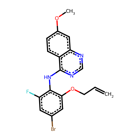 C=CCOc1cc(Br)cc(F)c1Nc1ncnc2cc(OC)ccc12